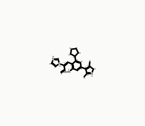 C=C/C(=C\c1c(NC)cc(C2=C(C)CN=C2C)cc1C1CCCC1)n1ccnc1